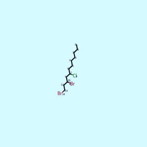 CCCCCCCC(Cl)CC(Br)CCBr